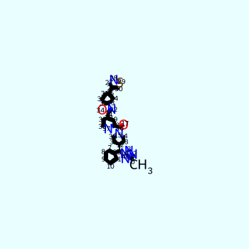 Cc1nnn([C@@H](c2ccccc2)C2CCN(C(=O)c3cc(-c4nc5cc(-c6cnsc6)ccc5o4)ccn3)CC2)n1